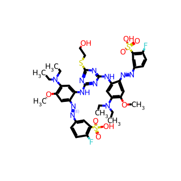 CCN(CC)c1cc(Nc2nc(Nc3cc(N(CC)CC)c(OC)cc3/N=N/c3ccc(F)c(S(=O)(=O)O)c3)nc(SCCO)n2)c(/N=N/c2ccc(F)c(S(=O)(=O)O)c2)cc1OC